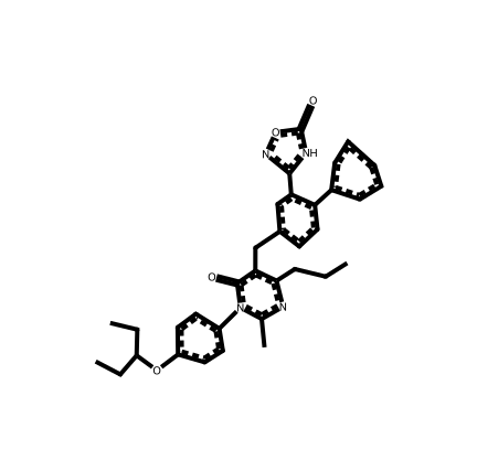 CCCc1nc(C)n(-c2ccc(OC(CC)CC)cc2)c(=O)c1Cc1ccc(-c2ccccc2)c(-c2noc(=O)[nH]2)c1